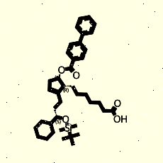 CC(C)(C)[Si](C)(C)O[C@@H](CCC1=CC[C@H](OC(=O)c2ccc(-c3ccccc3)cc2)[C@@H]1CCCCCCC(=O)O)C1CCCCC1